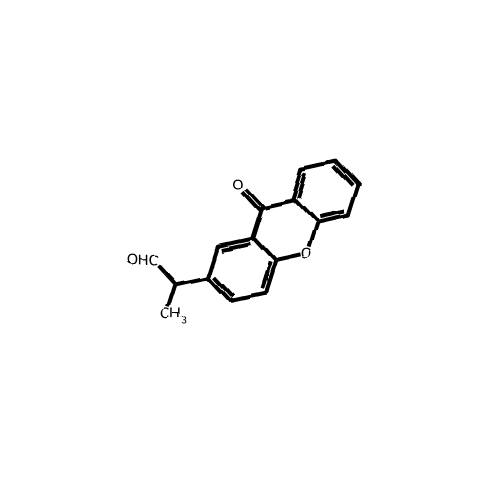 CC(C=O)c1ccc2oc3ccccc3c(=O)c2c1